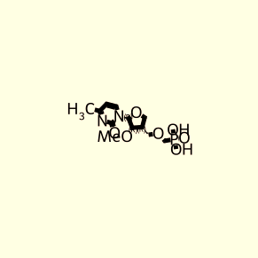 CO[C@@H]1[C@@H](COCP(=O)(O)O)CO[C@H]1n1ccc(C)nc1=O